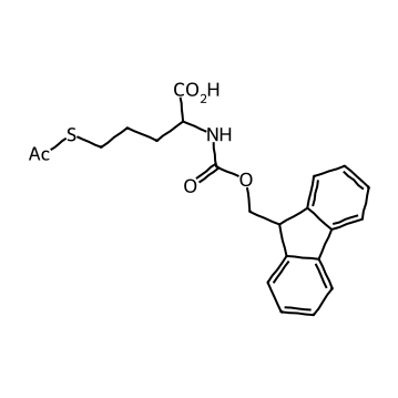 CC(=O)SCCCC(NC(=O)OCC1c2ccccc2-c2ccccc21)C(=O)O